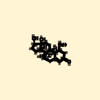 C[C@]12CC[C@H]3[C@@H](CCC4=CC(=O)C[CH]([PbH])[C@@]43C)[C@@H]1CC[C@@H]2O